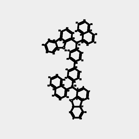 C1=CC2Oc3c(cccc3N(c3ccc(-c4ccc(N(c5cccc6ccccc56)c5cccc6c5oc5ccccc56)cc4)cc3)c3cccc4ccccc34)C2C=C1